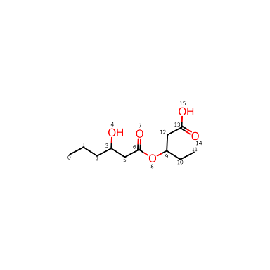 CCCC(O)CC(=O)OC(CC)CC(=O)O